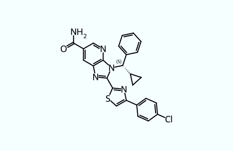 NC(=O)c1cnc2c(c1)nc(-c1nc(-c3ccc(Cl)cc3)cs1)n2[C@H](c1ccccc1)C1CC1